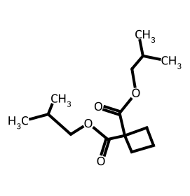 CC(C)COC(=O)C1(C(=O)OCC(C)C)CCC1